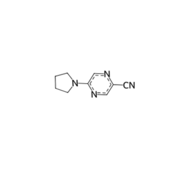 N#Cc1cnc(N2CCCC2)cn1